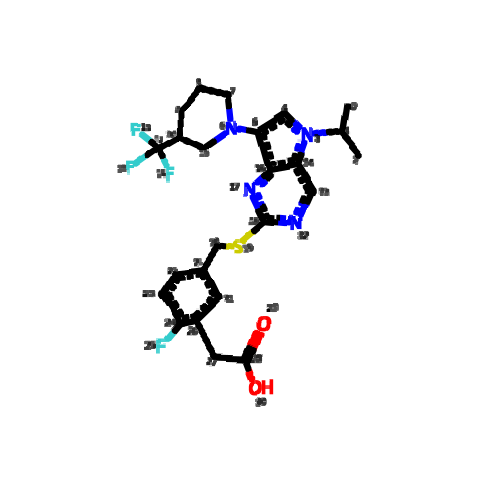 CC(C)n1cc(N2CCCC(C(F)(F)F)C2)c2nc(SCc3ccc(F)c(CC(=O)O)c3)ncc21